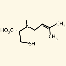 CC(C)=CCN[C@H](CS)C(=O)O